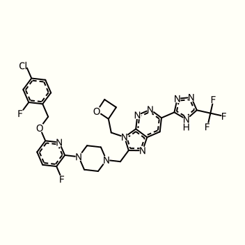 Fc1cc(Cl)ccc1COc1ccc(F)c(N2CCN(Cc3nc4cc(-c5nnc(C(F)(F)F)[nH]5)nnc4n3CC3CCO3)CC2)n1